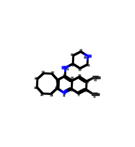 COc1cc2nc3c(c(NC4CCNCC4)c2cc1OC)CCCCCC3